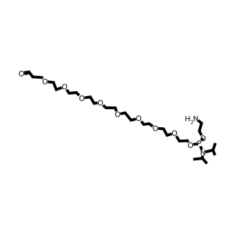 CC(C)N(C(C)C)P(OCCN)OCCOCCOCCOCCOCCOCCOCCOCCOCCC=O